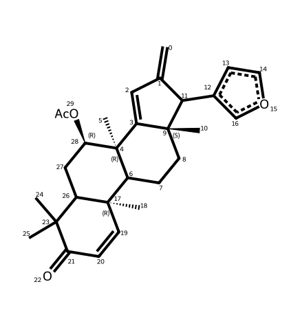 C=C1C=C2[C@@]3(C)C(CC[C@@]2(C)C1c1ccoc1)[C@@]1(C)C=CC(=O)C(C)(C)C1C[C@H]3OC(C)=O